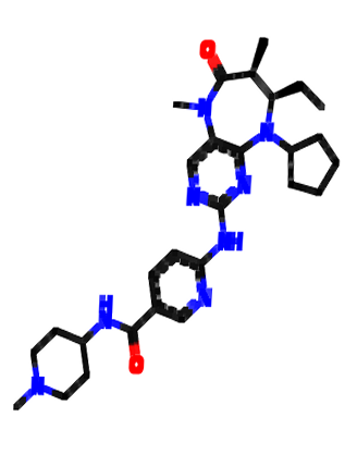 CC[C@@H]1[C@H](C)C(=O)N(C)c2cnc(Nc3ccc(C(=O)NC4CCN(C)CC4)cn3)nc2N1C1CCCC1